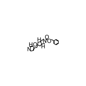 O=C(OCc1ccccc1)N1C[C@@H]2C[C@](O)(Cc3ccncc3)C[C@@H]2C1